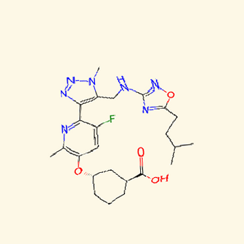 Cc1nc(-c2nnn(C)c2CNc2noc(CCC(C)C)n2)c(F)cc1O[C@H]1CCC[C@H](C(=O)O)C1